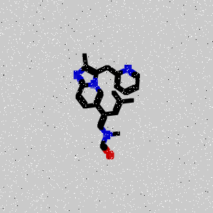 CC(C)=C/C(=C\N(C)C=O)c1ccc2nc(C)c(Cc3ccccn3)n2c1